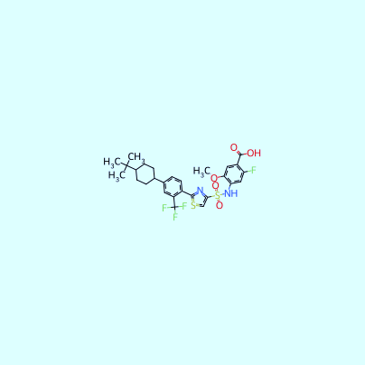 COc1cc(C(=O)O)c(F)cc1NS(=O)(=O)c1csc(-c2ccc(C3CCC(C(C)(C)C)CC3)cc2C(F)(F)F)n1